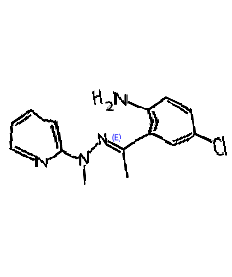 C/C(=N\N(C)c1ccccn1)c1cc(Cl)ccc1N